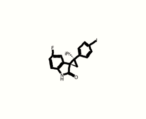 CC(C)[C@]1(c2ccc(I)cc2)C[C@]12C(=O)Nc1ccc(F)cc12